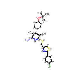 CC(C)(C)[Si](C)(C)O[C@H]1CC[C@H](c2c(C#N)c(N)nc(SCc3csc(-c4ccc(Cl)cc4)n3)c2C#N)CC1